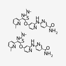 Cc1cccc(-c2nc(N(C)C)sc2Oc2ccnc(Nc3ccc(C(N)=O)cn3)c2)n1.Cc1cccc(-c2nc(N(C)C)sc2Oc2ccnc(Nc3ccc(C(N)=O)cn3)c2)n1